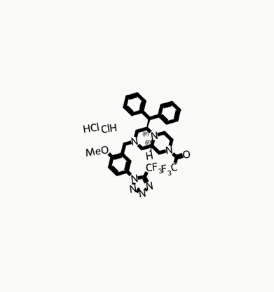 COc1ccc(-n2nnnc2C(F)(F)F)cc1CN1C[C@@H]2CN(C(=O)C(F)(F)F)CCN2[C@H](C(c2ccccc2)c2ccccc2)C1.Cl.Cl